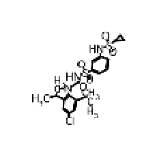 CC(C)c1cc(Cl)cc(C(C)C)c1NC(=O)NS(=O)(=O)c1cccc(NS(=O)(=O)C2CC2)c1